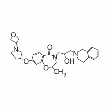 C[C@@H]1CN(CC(O)CN2CCc3ccccc3C2)C(=O)c2ccc(O[C@@H]3CCN(C4COC4)C3)cc2O1